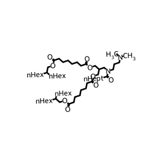 CCCCCCCC(=O)N(CCCN(C)C)CC(COC(=O)CCCCCCC(=O)OCC(CCCCCC)CCCCCC)COC(=O)CCCCCCC(=O)OCC(CCCCCC)CCCCCC